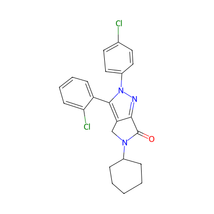 O=C1c2nn(-c3ccc(Cl)cc3)c(-c3ccccc3Cl)c2CN1C1CCCCC1